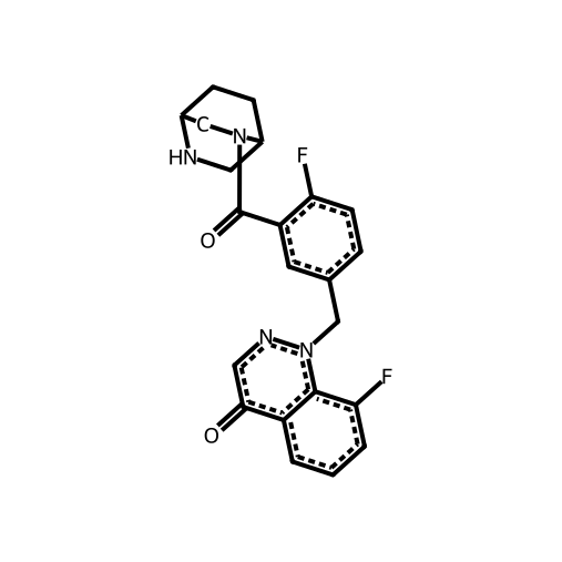 O=C(c1cc(Cn2ncc(=O)c3cccc(F)c32)ccc1F)N1CC2CCC1CN2